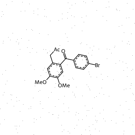 COc1cc(CC(C)=O)c(C(=O)c2ccc(Br)cc2)cc1OC